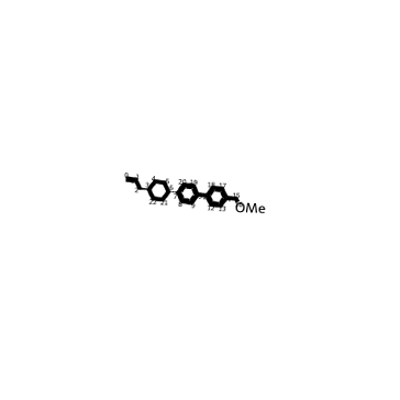 C=CC[C@H]1CC[C@H](c2ccc(-c3ccc(COC)cc3)cc2)CC1